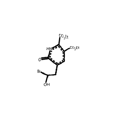 CCOC(=O)c1cc(CC(O)Br)c(=O)[nH]c1C(=O)OCC